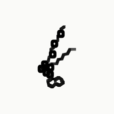 CCCCCCCCOP(=O)(OCCOCCOCCOCC)OOc1cccc2ccccc12